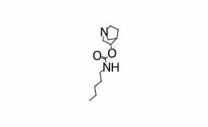 CCCCCNC(=O)OC1CN2CCC1C2